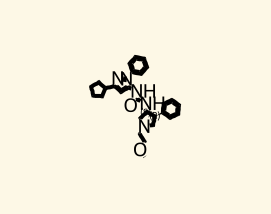 COCCN1C[C@@H](NC(=O)Nc2cc(C3CCCC3)nn2-c2ccccc2)[C@H](c2ccccc2)C1